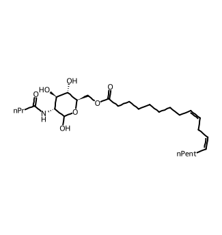 CCCCC/C=C\C/C=C\CCCCCCCC(=O)OC[C@H]1OC(O)[C@H](NC(=O)CCC)[C@@H](O)[C@@H]1O